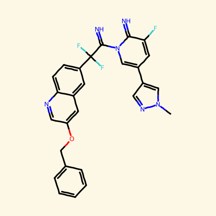 Cn1cc(-c2cc(F)c(=N)n(C(=N)C(F)(F)c3ccc4ncc(OCc5ccccc5)cc4c3)c2)cn1